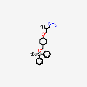 [2H]C(CN)COC1CCC(CO[Si](c2ccccc2)(c2ccccc2)C(C)(C)C)CC1